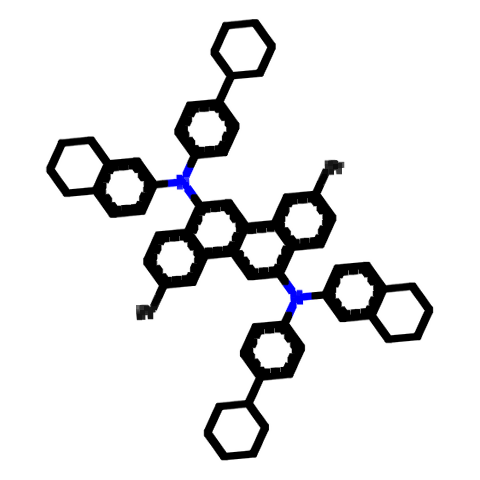 CC(C)c1ccc2c(N(c3ccc(C4CCCCC4)cc3)c3ccc4c(c3)CCCC4)cc3c4cc(C(C)C)ccc4c(N(c4ccc(C5CCCCC5)cc4)c4ccc5c(c4)CCCC5)cc3c2c1